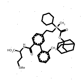 CSCC[C@H](NC(=O)c1ccc(CC[N+](C)(C(=O)OC23CC4CC(CC(C4)C2)C3)C2CCCCC2)cc1-c1ccccc1C)C(=O)O